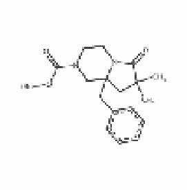 CC(C)(C)OC(=O)N1CCN2C(=O)C(C)(C)CC2(Cc2ccccc2)C1